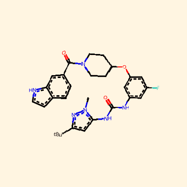 Cn1nc(C(C)(C)C)cc1NC(=O)Nc1cc(F)cc(OC2CCN(C(=O)c3ccc4cc[nH]c4c3)CC2)c1